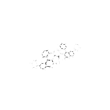 Cc1nc2ccc(N3CCCCC3)cc2c(-c2ccccc2)c1C(CF)C(=O)C(CF)c1c(C)nc2ccc(N3CCCCC3)cc2c1-c1ccccc1